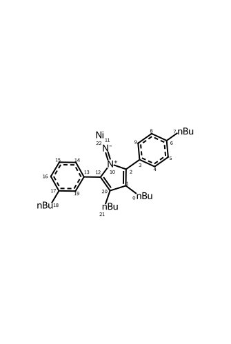 CCCCC1=C(c2ccc(CCCC)cc2)[N+](=[N-])C(c2cccc(CCCC)c2)=C1CCCC.[Ni]